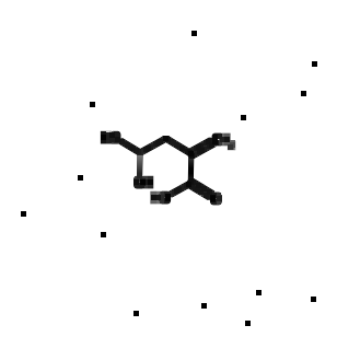 C=C(CC(O)O)C(=O)O